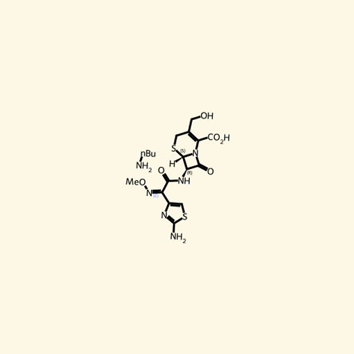 CCCCN.CO/N=C(\C(=O)N[C@@H]1C(=O)N2C(C(=O)O)=C(CO)CS[C@@H]12)c1csc(N)n1